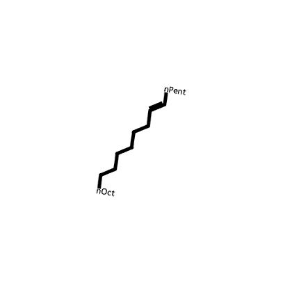 [CH2]CCCC/C=C/CCCCCCCCCCCCC[CH2]